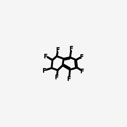 Fc1c(F)c(F)c2c(c1F)C(F)C(F)C(F)C2F